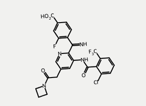 N=C(c1ccc(C(=O)O)cc1F)c1ncc(CC(=O)N2CCC2)cc1NC(=O)c1c(Cl)cccc1C(F)(F)F